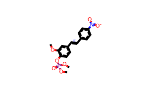 COc1cc(/C=C/c2ccc([N+](=O)[O-])cc2)ccc1OP(=O)(OC)OC